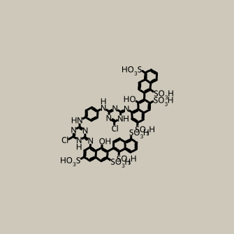 O=S(=O)(O)c1cc(N=c2nc(Nc3ccc(Nc4nc(Cl)[nH]c(=Nc5cc(S(=O)(=O)O)cc6cc(S(=O)(=O)O)c(-c7ccc8c(S(=O)(=O)O)cccc8c7S(=O)(=O)O)c(O)c56)n4)cc3)nc(Cl)[nH]2)c2c(O)c(-c3ccc4c(S(=O)(=O)O)cccc4c3S(=O)(=O)O)c(S(=O)(=O)O)cc2c1